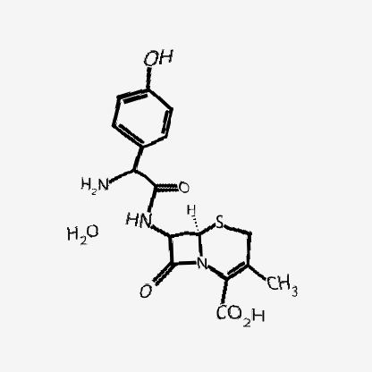 CC1=C(C(=O)O)N2C(=O)C(NC(=O)C(N)c3ccc(O)cc3)[C@H]2SC1.O